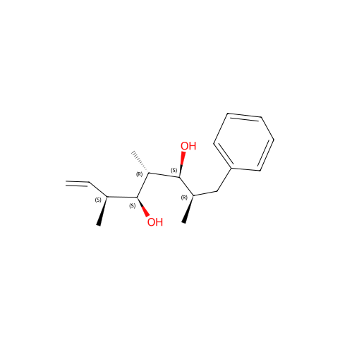 C=C[C@H](C)[C@H](O)[C@H](C)[C@@H](O)[C@H](C)Cc1ccccc1